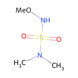 CONS(=O)(=O)N(C)C